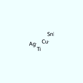 [Ag].[Cu].[Sn].[Ti]